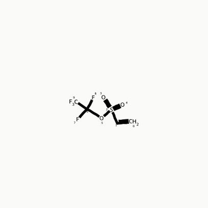 C=CS(=O)(=O)OC(F)(F)C(F)(F)F